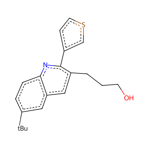 CC(C)(C)c1ccc2nc(-c3ccsc3)c(CCCO)cc2c1